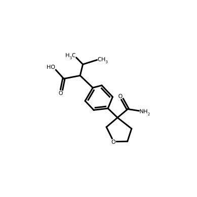 CC(C)C(C(=O)O)c1ccc(C2(C(N)=O)CCOC2)cc1